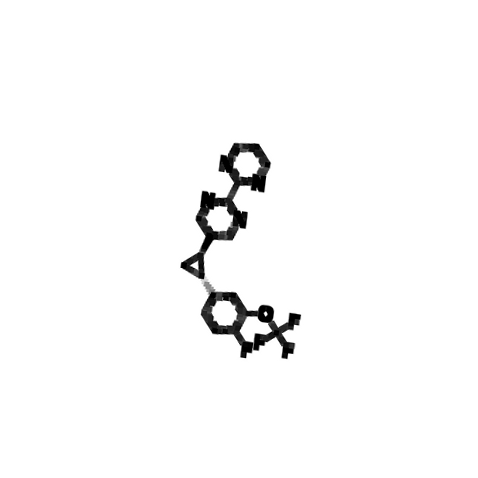 Fc1ccc([C@@H]2C[C@H]2c2cnc(-c3ncccn3)nc2)cc1OC(F)(F)F